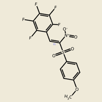 COc1ccc(S(=O)(=O)/C(=C/c2c(F)c(F)c(F)c(F)c2F)[N+](=O)[O-])cc1